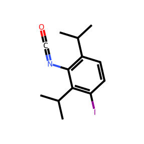 CC(C)c1ccc(I)c(C(C)C)c1N=C=O